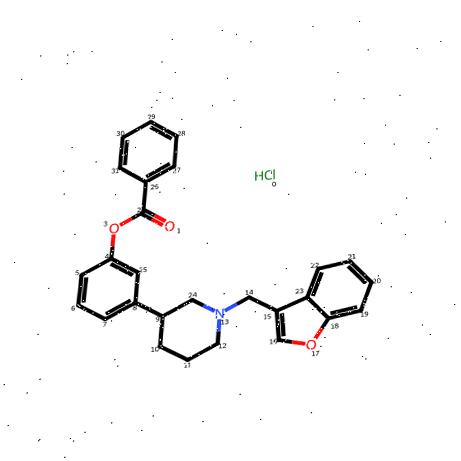 Cl.O=C(Oc1cccc(C2CCCN(Cc3coc4ccccc34)C2)c1)c1ccccc1